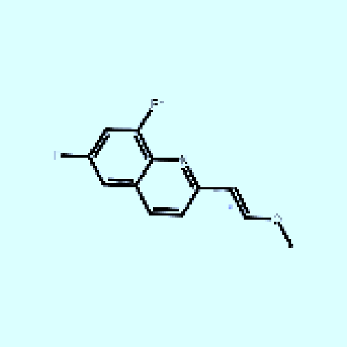 CO/C=C/c1ccc2cc(F)cc(Br)c2n1